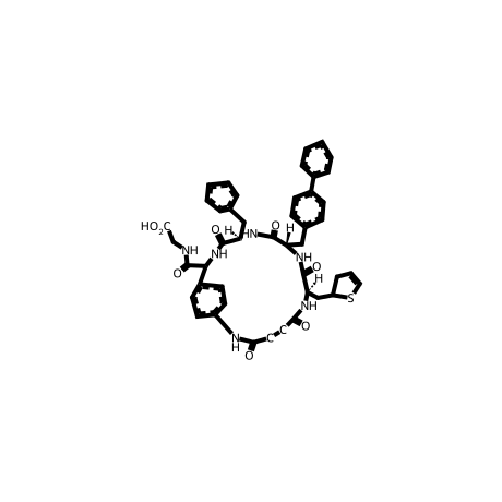 O=C(O)CNC(=O)C1NC(=O)[C@@H](Cc2ccccc2)NC(=O)[C@H](Cc2ccc(-c3ccccc3)cc2)NC(=O)[C@@H](CC2CC=CS2)NC(=O)CCC(=O)Nc2ccc1cc2